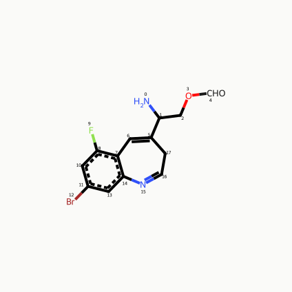 NC(COC=O)C1=Cc2c(F)cc(Br)cc2N=CC1